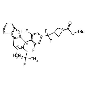 C[C@@H]1Cc2c([nH]c3ccccc23)[C@@H](c2c(F)cc(C(F)(F)C3CN(C(=O)OC(C)(C)C)C3)cc2F)N1CC(C)(C)F